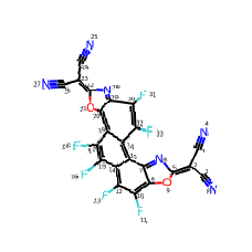 N#CC(C#N)=c1nc2c(o1)c(F)c(F)c1c(F)c(F)c3c4oc(=C(C#N)C#N)nc4c(F)c(F)c3c12